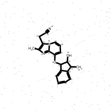 Cc1nc2c(OC3c4ccccc4C(C)C3O)cccn2c1CC#N